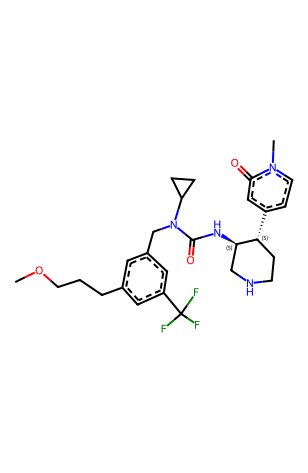 COCCCc1cc(CN(C(=O)N[C@@H]2CNCC[C@H]2c2ccn(C)c(=O)c2)C2CC2)cc(C(F)(F)F)c1